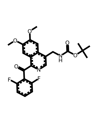 COc1cc2c(CNC(=O)OC(C)(C)C)cnc(C(=O)c3c(F)cccc3F)c2cc1OC